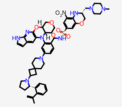 C=C(C)c1ccccc1[C@@H]1CCCN1C1CC2(CCN(c3ccc(C(=O)NS(=O)(=O)c4cc5c(c([N+](=O)[O-])c4)N[C@H](CN4CCN(C)CC4)CO5)c(N4c5cc6cc[nH]c6nc5O[C@H]5COCC[C@@H]54)c3)CC2)C1